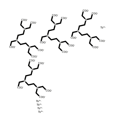 O=C([O-])CN(CCN(CC(=O)[O-])CC(=O)[O-])CCN(CC(=O)[O-])CC(=O)[O-].O=C([O-])CN(CCN(CC(=O)[O-])CC(=O)[O-])CCN(CC(=O)[O-])CC(=O)[O-].O=C([O-])CN(CCN(CC(=O)[O-])CC(=O)[O-])CCN(CC(=O)[O-])CC(=O)[O-].O=C([O-])CN(CCN(CC(=O)[O-])CC(=O)[O-])CCN(CC(=O)[O-])CC(=O)[O-].[Tb+4].[Tb+4].[Tb+4].[Tb+4].[Tb+4]